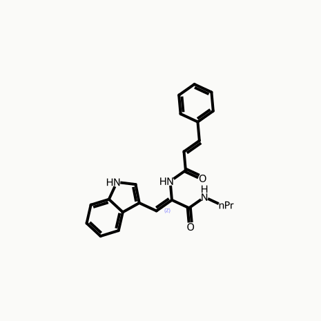 CCCNC(=O)/C(=C/c1c[nH]c2ccccc12)NC(=O)C=Cc1ccccc1